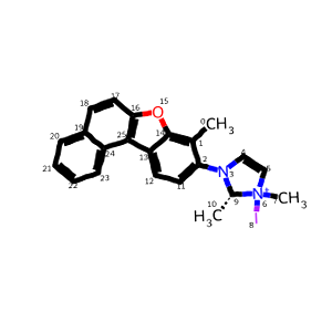 Cc1c(N2C=C[N+](C)(I)[C@@H]2C)ccc2c1oc1ccc3ccccc3c12